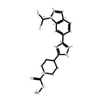 CC(C)(C)OC(=O)N1CCC(c2nc(-c3ccc4cnn(C(F)F)c4c3)no2)CC1